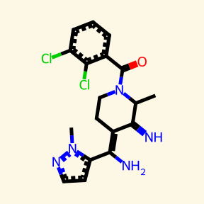 CC1C(=N)/C(=C(\N)c2ccnn2C)CCN1C(=O)c1cccc(Cl)c1Cl